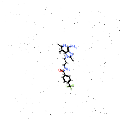 Cc1nc(N)c2nc(C)n(CCCNC(=O)c3ccc(C(F)(F)F)cc3)c2c1C